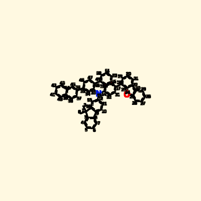 CC1(C)c2ccccc2-c2ccc(N(c3ccc(-c4cccc5c4oc4ccccc45)cc3)c3cc(-c4ccc5ccccc5c4)ccc3-c3ccccc3)cc21